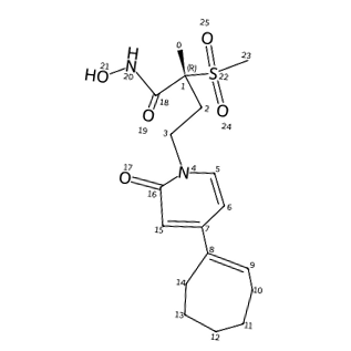 C[C@@](CCn1ccc(C2=CCCCCC2)cc1=O)(C(=O)NO)S(C)(=O)=O